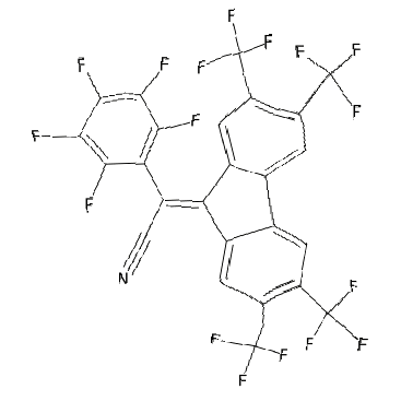 N#CC(=C1c2cc(C(F)(F)F)c(C(F)(F)F)cc2-c2cc(C(F)(F)F)c(C(F)(F)F)cc21)c1c(F)c(F)c(F)c(F)c1F